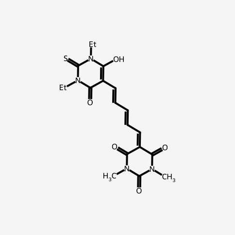 CCn1c(O)c(C=CC=CC=C2C(=O)N(C)C(=O)N(C)C2=O)c(=O)n(CC)c1=S